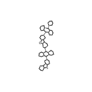 c1ccc(-c2c3ccccc3c(-c3ccc4oc5cc(-c6c7ccccc7c(-c7ccc8sc9ccccc9c8c7)c7ccccc67)ccc5c4c3)c3ccccc23)cc1